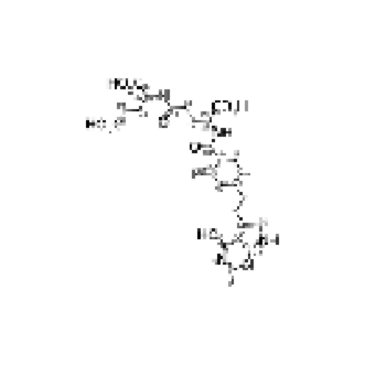 Cc1nc(O)c2c(CCc3ccc(C(=O)N[C@@H](CCC(=O)N[C@@H](CCC(=O)O)C(=O)O)C(=O)O)c(F)c3)c[nH]c2n1